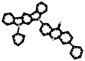 O=c1c2ccc(-c3ccccc3)cc2oc2ccc(-n3c4ccccc4c4cc5c6ccccc6n(-c6ccccc6)c5cc43)cc12